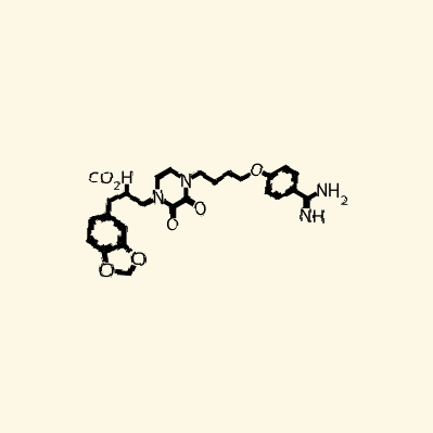 N=C(N)c1ccc(OCCCCN2CCN(CC(Cc3ccc4c(c3)OCO4)C(=O)O)C(=O)C2=O)cc1